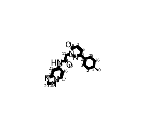 C[C@H]1CC=C(c2ccc(=O)n(CC(=O)Nc3ccn4ncnc4c3)n2)CC1